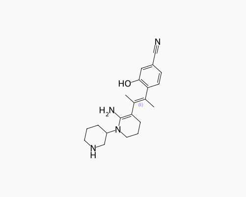 C/C(C1=C(N)N(C2CCCNC2)CCC1)=C(/C)c1ccc(C#N)cc1O